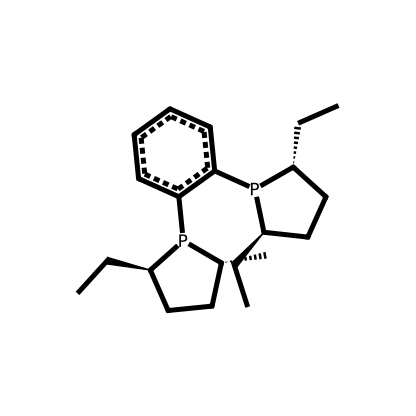 CC[C@@H]1CC[C@@H](CC)P1c1ccccc1P1[C@H](CC)CC[C@H]1C